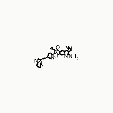 Cn1ncc2c(N)nc3cc(Cl)c(C(=O)N(Cc4ccc(C#Cc5cnc6cccnn56)cn4)C4CC4)cc3c21